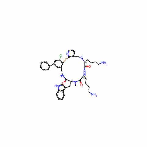 CN1C(=O)[C@H](CCCCN)NC(=O)[C@H](CCCCN)NCc2cccnc2Sc2c(Cl)cc(-c3ccccc3)cc2CNC(=O)[C@@H]1Cc1c[nH]c2ccccc12